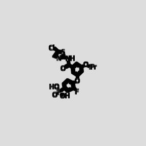 CC(C)Oc1cc(Oc2ccc(P(=O)(O)O)cc2F)cc(C(=O)Nc2ncc(Cl)s2)c1